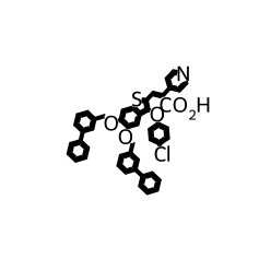 O=C(O)C(=Cc1sc2cc(OCc3cccc(-c4ccccc4)c3)c(OCc3cccc(-c4ccccc4)c3)cc2c1Oc1ccc(Cl)cc1)c1ccncc1